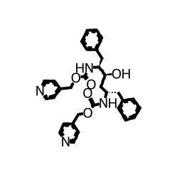 O=C(N[C@@H](Cc1ccccc1)C[C@H](O)[C@H](Cc1ccccc1)NC(=O)OCc1ccncc1)OCc1ccncc1